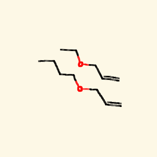 C=CCOCC.C=CCOCCCC